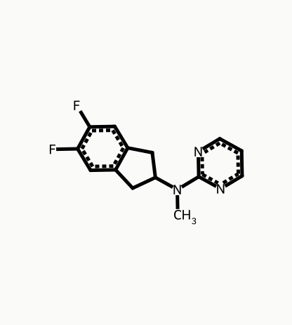 CN(c1ncccn1)C1Cc2cc(F)c(F)cc2C1